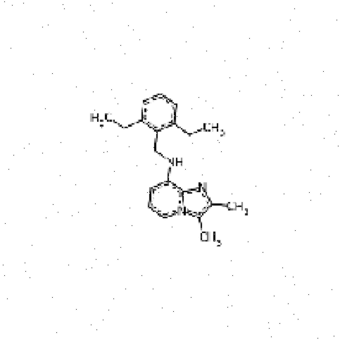 CCc1cccc(CC)c1CNc1cccn2c(C)c(C)nc12